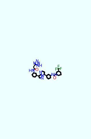 O=C(Cc1nnn[nH]1)Nc1cccc(-c2cnn3c(-c4cccc(NC(=O)c5cccc(C(F)(F)F)c5)c4)ccnc23)c1